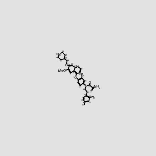 COc1cc2c(Oc3ccc(N(CCc4ccc(C)cc4C)C(=O)C(N)=O)cc3F)ccnc2cc1OCC1CCNCC1